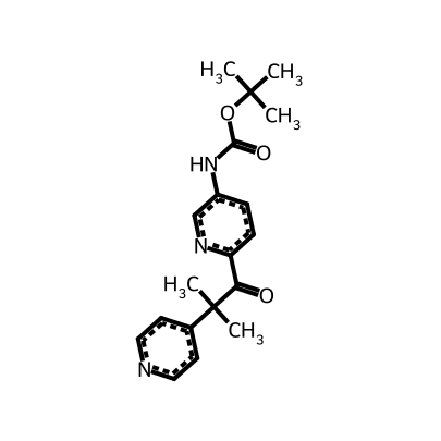 CC(C)(C)OC(=O)Nc1ccc(C(=O)C(C)(C)c2ccncc2)nc1